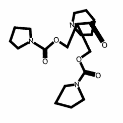 O=C(OCC1(COC(=O)N2CCCC2)C(=O)C2CCN1CC2)N1CCCC1